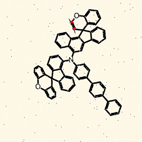 c1ccc(-c2ccc(-c3ccc(N(c4cccc5c4-c4ccccc4C54c5ccccc5Oc5ccccc54)c4cc5c(c6ccccc46)C4(c6ccccc6Oc6ccccc64)c4ccccc4-5)cc3)cc2)cc1